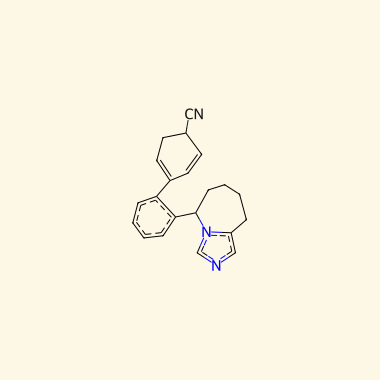 N#CC1C=CC(c2ccccc2C2CCCCc3cncn32)=CC1